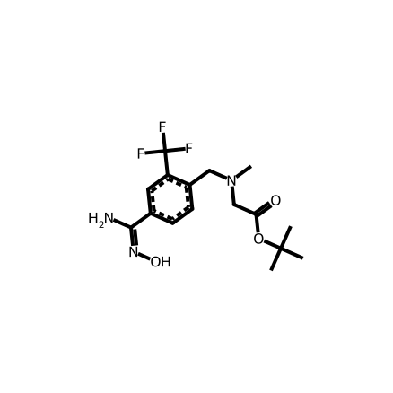 CN(CC(=O)OC(C)(C)C)Cc1ccc(/C(N)=N\O)cc1C(F)(F)F